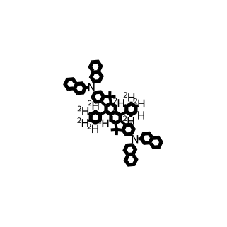 [2H]c1c([2H])c([2H])c(-c2c3c(cc4c(-c5c([2H])c([2H])c([2H])c([2H])c5[2H])c5c(cc24)C(C)(C)c2cc(N(c4ccc6ccccc6c4)c4ccc6ccccc6c4)ccc2-5)C(C)(C)c2cc(N(c4ccc5ccccc5c4)c4ccc5ccccc5c4)ccc2-3)c([2H])c1[2H]